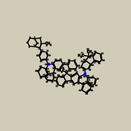 CC1CC2CCCC(C2)C1c1ccc(N(c2ccccc2)c2ccc(-c3ccccc3C3(C)c4ccccc4-c4cc(-c5ccccc5)c(N(c5ccccc5)c5ccc6c(c5)-c5ccccc5C6(C)C)cc43)cc2-c2ccccc2)cc1